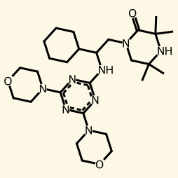 CC1(C)CN(CC(Nc2nc(N3CCOCC3)nc(N3CCOCC3)n2)C2CCCCC2)C(=O)C(C)(C)N1